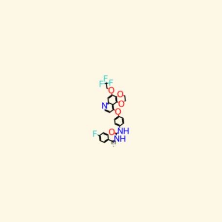 C[C@@H](NC(=O)Nc1ccc(Oc2ccnc3cc(OCC(F)(F)F)c4c(c23)OCCO4)cc1)c1ccc(F)cc1